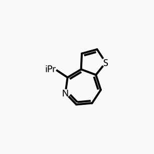 CC(C)C1=c2ccsc2=CC=C=N1